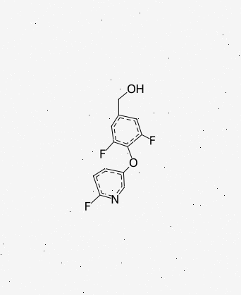 OCc1cc(F)c(Oc2ccc(F)nc2)c(F)c1